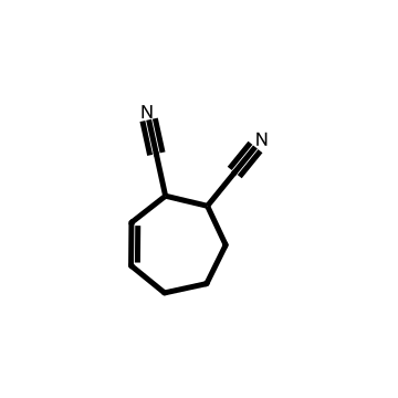 N#CC1C=CCCCC1C#N